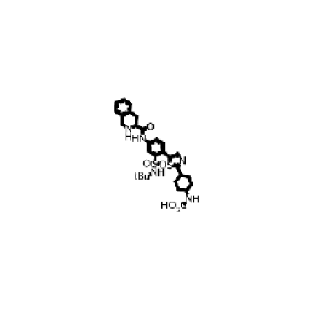 CC(C)(C)NS(=O)(=O)c1cc(NC(=O)C2Cc3ccccc3CN2)ccc1-c1cnc(C2CCC(NC(=O)O)CC2)s1